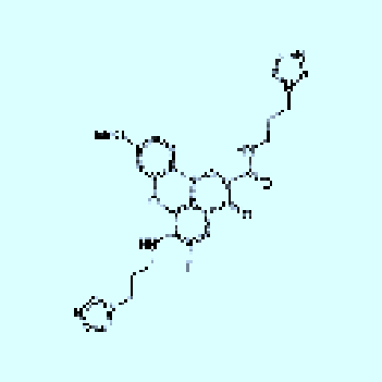 COc1ccc2c(c1)Oc1c(NCCCn3ccnc3)c(F)cc3c(=O)c(C(=O)NCCCn4ccnc4)cn-2c13